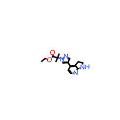 CCOC(=O)C(C)(C)n1cc(-c2ccnc3c2CCN3)cn1